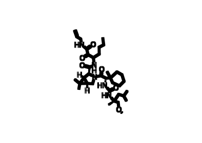 C=CCNC(=O)C(=O)C(CCCC)NC(=O)[C@@H]1[C@@H]2[C@H](CN1C(=O)[C@@H](NC(=O)N[C@@](C)(COC)CC(C)C)C1(C)CCCCC1)C2(C)C